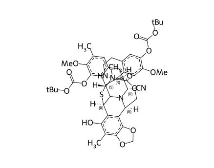 COc1cc2c(cc1OC(=O)OC(C)(C)C)CCN[C@]21CS[C@@H]2c3c(O)c(C)c4c(c3[C@H](COC1=O)N1C2[C@@H]2c3c(cc(C)c(OC)c3OC(=O)OC(C)(C)C)C[C@@H]([C@@H]1C#N)N2C)OCO4